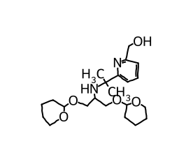 CC(C)(NC(COC1CCCCO1)COC1CCCCO1)c1cccc(CO)n1